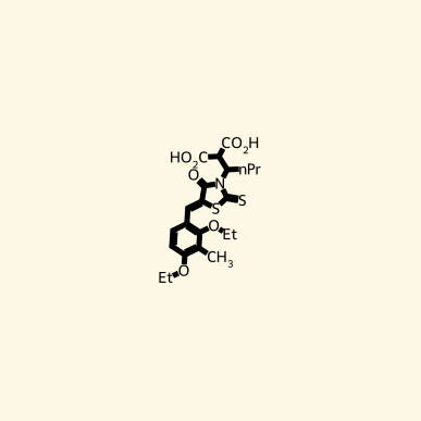 CCCC(C(C(=O)O)C(=O)O)N1C(=O)C(=Cc2ccc(OCC)c(C)c2OCC)SC1=S